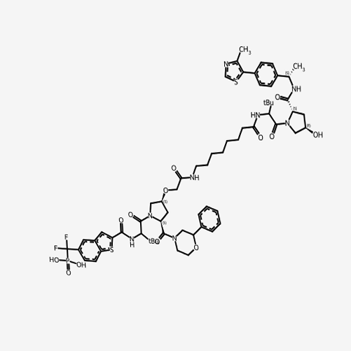 Cc1ncsc1-c1ccc([C@H](C)NC(=O)[C@@H]2C[C@@H](O)CN2C(=O)C(NC(=O)CCCCCCCNC(=O)CO[C@H]2C[C@@H](C(=O)N3CCOC(c4ccccc4)C3)N(C(=O)C(NC(=O)c3cc4cc(C(F)(F)P(=O)(O)O)ccc4s3)C(C)(C)C)C2)C(C)(C)C)cc1